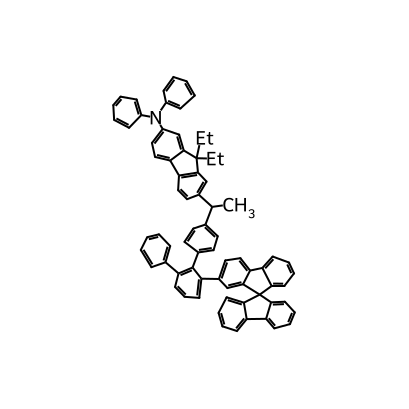 CCC1(CC)c2cc(C(C)c3ccc(-c4c(-c5ccccc5)cccc4-c4ccc5c(c4)C4(c6ccccc6-c6ccccc64)c4ccccc4-5)cc3)ccc2-c2ccc(N(c3ccccc3)c3ccccc3)cc21